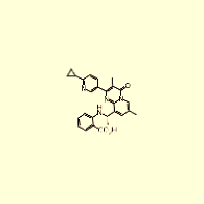 Cc1cc([C@@H](C)Nc2ccccc2C(=O)O)c2nc(-c3ccc(C4CC4)nc3)c(C)c(=O)n2c1